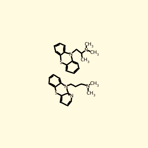 CC(CN1c2ccccc2Sc2ccccc21)N(C)C.CN(C)CCCN1c2ccccc2Sc2cccnc21